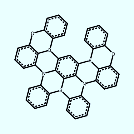 c1ccc2c(c1)Oc1cccc3c1B2c1cc2c4c5c1N3c1ccccc1B5c1ccccc1N4c1cccc3c1B2c1ccccc1O3